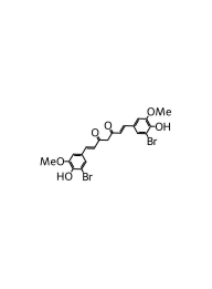 COc1cc(C=CC(=O)CC(=O)C=Cc2cc(Br)c(O)c(OC)c2)cc(Br)c1O